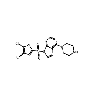 O=S(=O)(c1cc(Cl)c(Cl)s1)n1ccc2c(N3CCNCC3)cccc21